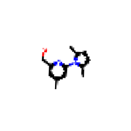 Cc1cc(CO)nc(-n2c(C)ccc2C)c1